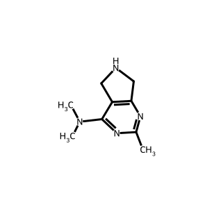 Cc1nc2c(c(N(C)C)n1)CNC2